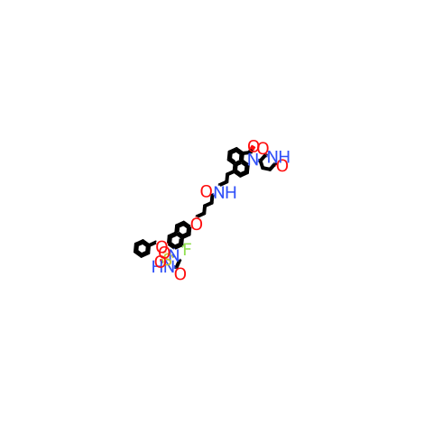 O=C(CCCCOc1ccc2cc(OCc3ccccc3)c(N3CC(=O)NS3(=O)=O)c(F)c2c1)NCCCc1ccc2c3c(cccc13)C(=O)N2C1CCC(=O)NC1=O